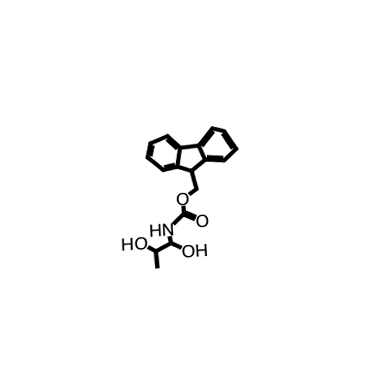 CC(O)C(O)NC(=O)OCC1c2ccccc2-c2ccccc21